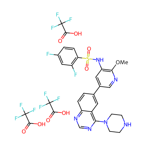 COc1ncc(-c2ccc3ncnc(N4CCNCC4)c3c2)cc1NS(=O)(=O)c1ccc(F)cc1F.O=C(O)C(F)(F)F.O=C(O)C(F)(F)F.O=C(O)C(F)(F)F